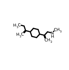 C=C(CC)C1CCC(C(=C)CNC)CC1